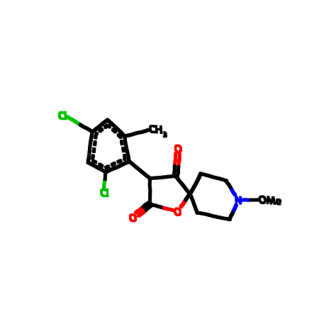 CON1CCC2(CC1)OC(=O)C(c1c(C)cc(Cl)cc1Cl)C2=O